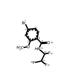 COc1cc(Br)ccc1C(=O)NC(F)C(F)F